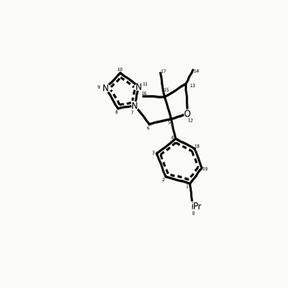 CC(C)c1ccc(C2(Cn3cncn3)OC(C)C2(C)C)cc1